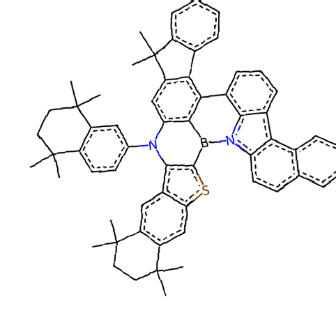 CC1(C)CCC(C)(C)c2cc(N3c4cc5c(c6c4B(c4sc7cc8c(cc7c43)C(C)(C)CCC8(C)C)n3c4ccc7ccccc7c4c4cccc-6c43)-c3ccccc3C5(C)C)ccc21